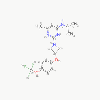 Cc1cc(NC(C)C)nc(N2CC(Oc3ccc(OC(F)(F)F)cc3)C2)n1